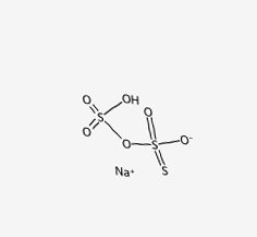 O=S(=O)(O)OS(=O)([O-])=S.[Na+]